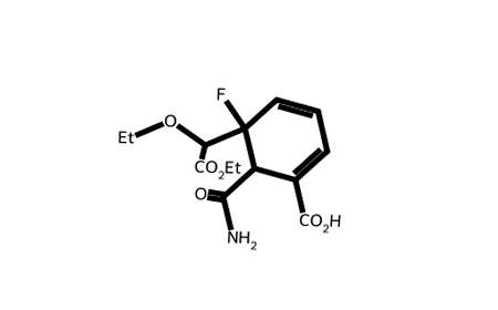 CCOC(=O)C(OCC)C1(F)C=CC=C(C(=O)O)C1C(N)=O